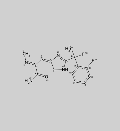 C/N=C(\N=C1/CNC(C(C)(F)c2ccccc2F)=N1)C(N)=O